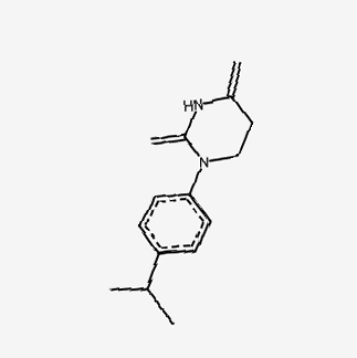 C=C1CCN(c2ccc(C(C)C)cc2)C(=C)N1